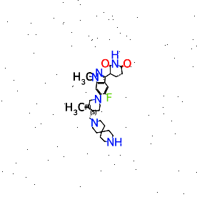 C[C@H]1CN(c2cc3c(cc2F)c(C2CCC(=O)NC2=O)nn3C)CC[C@@H]1CN1CCC2(CCNCC2)CC1